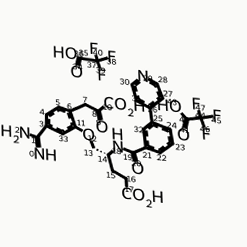 N=C(N)c1ccc(CC(=O)C(=O)O)c(OC[C@@H](CCC(=O)O)NC(=O)c2cccc(-c3ccncc3)c2)c1.O=C(O)C(F)(F)F.O=C(O)C(F)(F)F